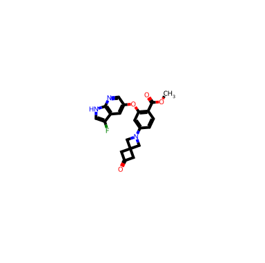 COC(=O)c1ccc(N2CC3(CC(=O)C3)C2)cc1Oc1cnc2[nH]cc(F)c2c1